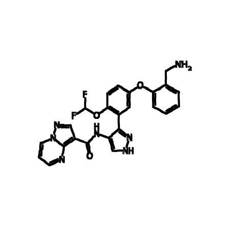 NCc1ccccc1Oc1ccc(OC(F)F)c(-c2n[nH]cc2NC(=O)c2cnn3cccnc23)c1